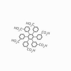 O=C(O)c1cccc(-c2c(-c3cccc(C(=O)O)c3)c(-c3cccc(C(=O)O)c3)c(-c3cccc(C(=O)O)c3)c(-c3cccc(C(=O)O)c3)c2-c2cccc(C(=O)O)c2)c1